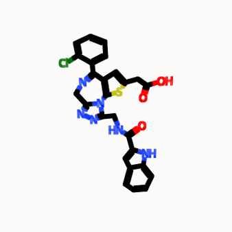 O=C(O)Cc1cc2c(s1)-n1c(nnc1CNC(=O)c1cc3ccccc3[nH]1)CN=C2c1ccccc1Cl